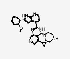 COc1ccccc1-c1cc2c(C3=Nc4cncc(C5CC5)c4C(N4CCNCC4)N3)ccnc2[nH]1